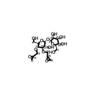 OC[C@H]1O[C@H](O[C@H]2O[C@H](CO)[C@@H](OCC3CO3)[C@H](OCC3CO3)[C@H]2O)[C@H](O)[C@@H](O)[C@@H]1O